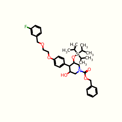 CC(C)[Si](OC1CN(C(=O)OCc2ccccc2)CC(O)C1c1ccc(OCCOCc2cccc(F)c2)cc1)(C(C)C)C(C)C